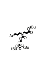 CC(=O)CCCN(CCC(=O)OC(C)(C)C)C(=O)OCOP(=O)(OC(C)(C)C)OC(C)(C)C